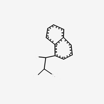 CCC(C(O)c1cccc2ccccc12)[N+](=O)[O-]